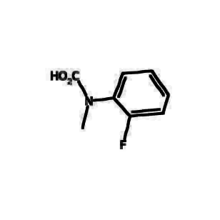 CN(C(=O)O)c1ccccc1F